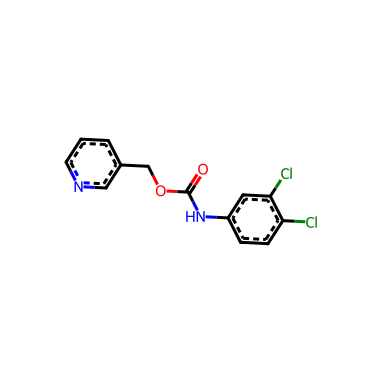 O=C(Nc1ccc(Cl)c(Cl)c1)OCc1cccnc1